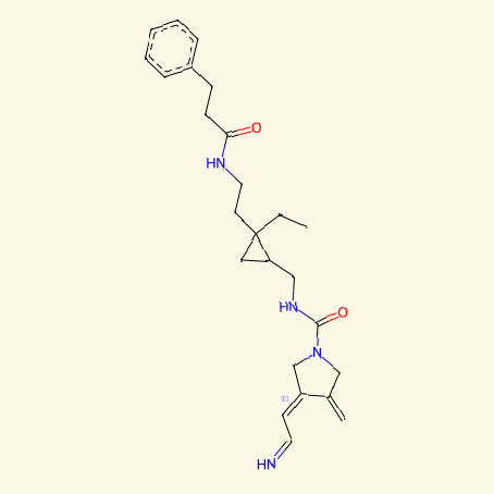 C=C1CN(C(=O)NCC2CC2(CC)CCNC(=O)CCc2ccccc2)C/C1=C/C=N